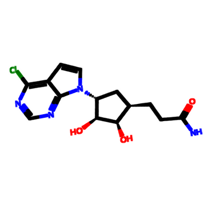 NC(=O)CC[C@@H]1C[C@@H](n2ccc3c(Cl)ncnc32)[C@H](O)[C@@H]1O